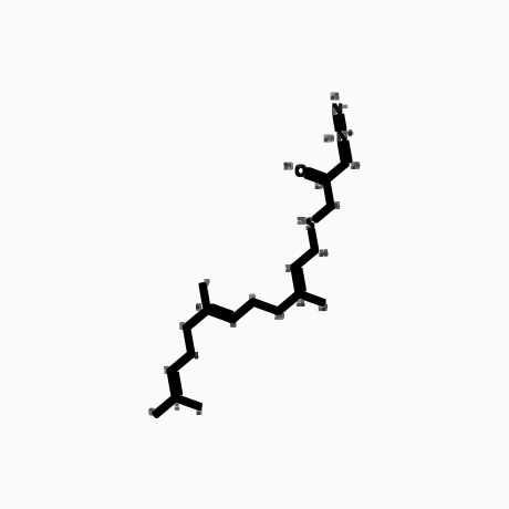 CC(C)=CCCC(C)=CCCC(C)=CCSCC(=O)C=[N+]=[N-]